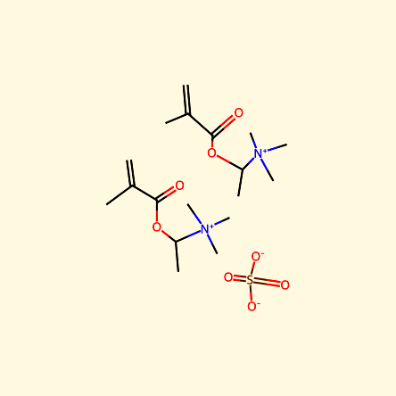 C=C(C)C(=O)OC(C)[N+](C)(C)C.C=C(C)C(=O)OC(C)[N+](C)(C)C.O=S(=O)([O-])[O-]